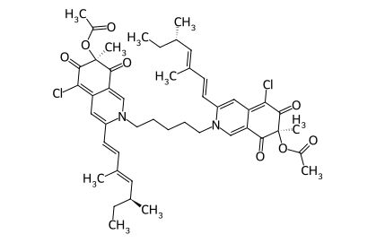 CC[C@H](C)/C=C(C)/C=C/C1=CC2=C(Cl)C(=O)[C@@](C)(OC(C)=O)C(=O)C2=CN1CCCCCN1C=C2C(=O)[C@](C)(OC(C)=O)C(=O)C(Cl)=C2C=C1/C=C/C(C)=C/[C@@H](C)CC